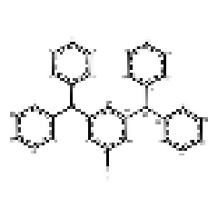 Fc1cc(C(c2ccccc2)c2ccccc2)cc(C(c2ccccc2)c2ccccc2)c1